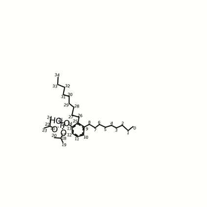 CCCCCCCCCc1cccc([O][Ti]([OH])([O]C(C)C)[O]C(C)C)c1CCCCCCCCC